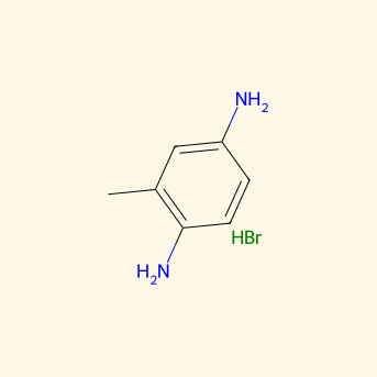 Br.Cc1cc(N)ccc1N